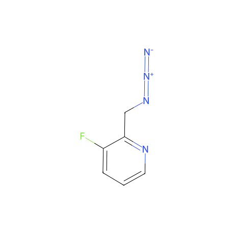 [N-]=[N+]=NCc1ncccc1F